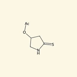 CC(=O)OC1CNC(=S)C1